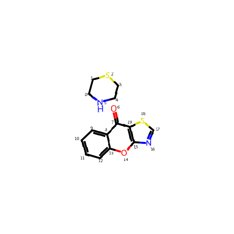 C1CSCCN1.O=c1c2ccccc2oc2ncsc12